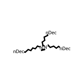 CCCCCCCCCCCCCCCCn1cc[n+](CCCCCCCCCCCCCCC)c1CCCCCCCCCCCCCC